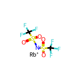 O=S(=O)([N-]S(=O)(=O)C(F)(F)F)C(F)(F)F.[Rb+]